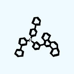 c1ccc(-c2ccc(N(c3cccc(-c4ccccc4)c3)c3cccc(-c4cc5c6ccccc6ccc5c5ccccc45)c3)cc2)cc1